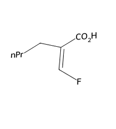 CCCCC(=CF)C(=O)O